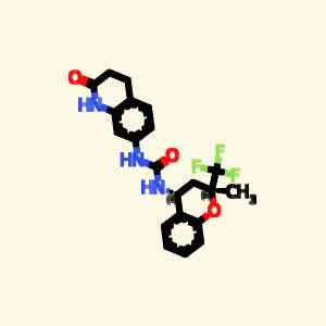 C[C@]1(C(F)(F)F)C[C@@H](NC(=O)Nc2ccc3c(c2)NC(=O)CC3)c2ccccc2O1